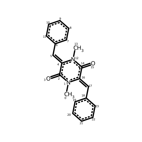 Cn1c(=O)/c(=C/c2ccccc2)n(C)c(=O)/c1=C/c1ccccc1